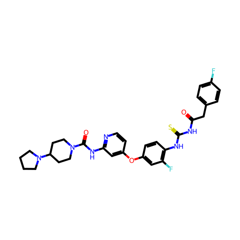 O=C(Cc1ccc(F)cc1)NC(=S)Nc1ccc(Oc2ccnc(NC(=O)N3CCC(N4CCCC4)CC3)c2)cc1F